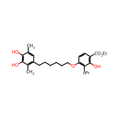 CCCc1c(OCCCCCCc2cc(C)c(O)c(O)c2C)ccc(C(=O)OCC)c1O